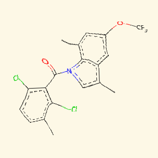 Cc1ccc(Cl)c(C(=O)n2cc(C)c3cc(OC(F)(F)F)cc(C)c32)c1Cl